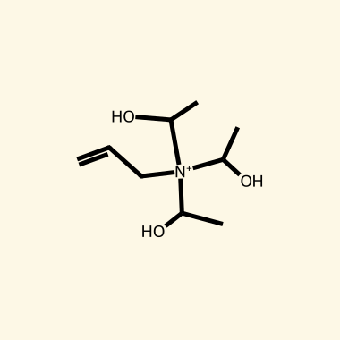 C=CC[N+](C(C)O)(C(C)O)C(C)O